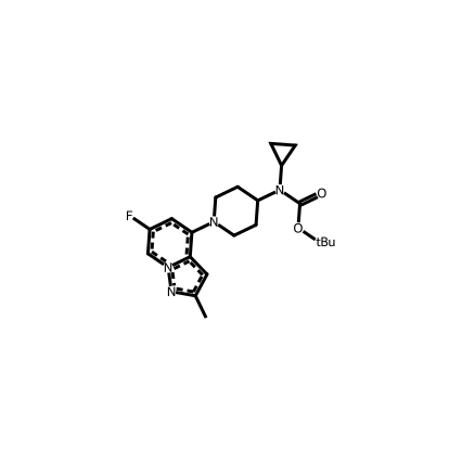 Cc1cc2c(N3CCC(N(C(=O)OC(C)(C)C)C4CC4)CC3)cc(F)cn2n1